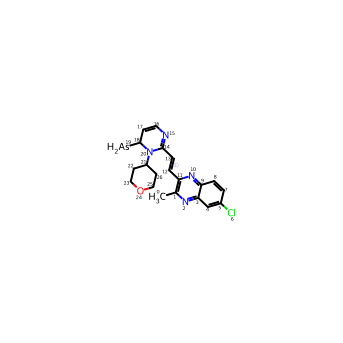 Cc1nc2cc(Cl)ccc2nc1/C=C/C1=NC=CC([AsH2])N1C1CCOCC1